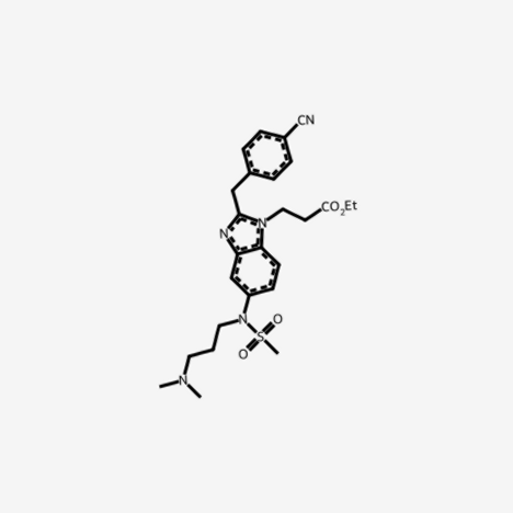 CCOC(=O)CCn1c(Cc2ccc(C#N)cc2)nc2cc(N(CCCN(C)C)S(C)(=O)=O)ccc21